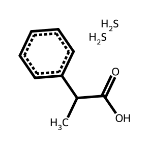 CC(C(=O)O)c1ccccc1.S.S